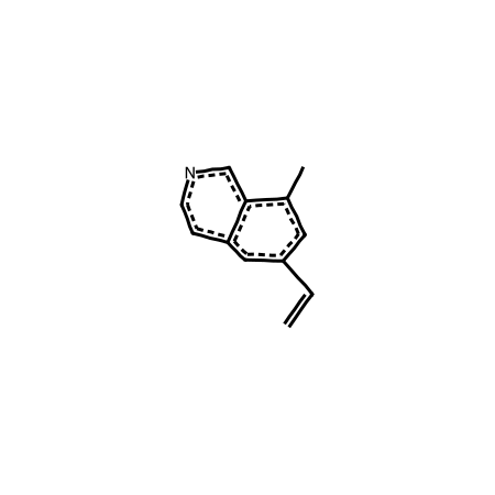 C=Cc1cc(C)c2cnccc2c1